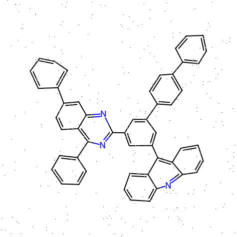 c1ccc(-c2ccc(-c3cc(-c4nc(-c5ccccc5)c5ccc(-c6ccccc6)cc5n4)cc(-c4c5ccccc5nc5ccccc45)c3)cc2)cc1